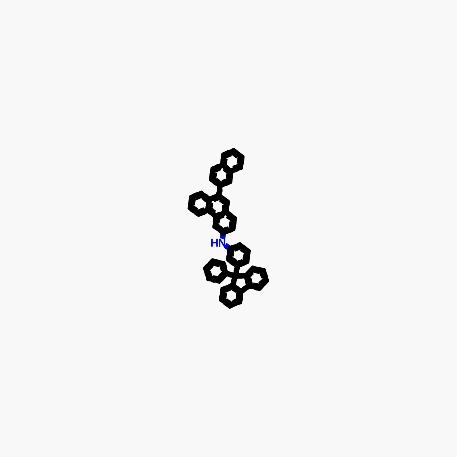 c1ccc(C2(c3cccc(Nc4ccc5cc(-c6ccc7ccccc7c6)c6ccccc6c5c4)c3)c3ccccc3-c3ccccc32)cc1